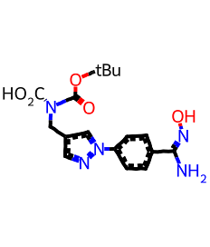 CC(C)(C)OC(=O)N(Cc1cnn(-c2ccc(/C(N)=N\O)cc2)c1)C(=O)O